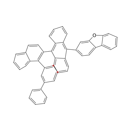 c1ccc(-c2cccc(-c3c(-c4c5ccccc5c(-c5ccc6c(c5)oc5ccccc56)c5ccccc45)ccc4ccccc34)c2)cc1